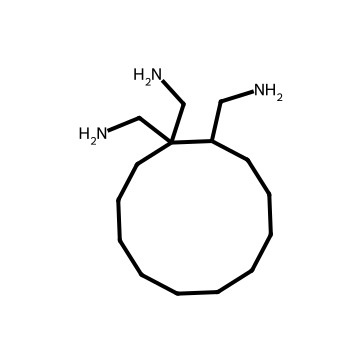 NCC1CCCCCCCCCCC1(CN)CN